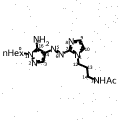 CCCCCCn1ncc(/N=N/c2nccn2CCCNC(C)=O)c1N